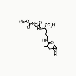 CC(CC12CC1N2)C(=O)NCCC[C@H](NC(=O)CNC(=O)OC(C)(C)C)C(=O)O